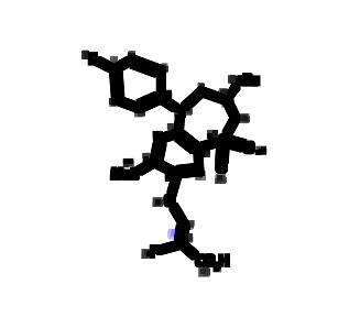 CCCC[C@@H]1CN(c2ccc(F)cc2)c2cc(SC)c(O/C=C(\F)C(=O)O)cc2S(=O)(=O)C1